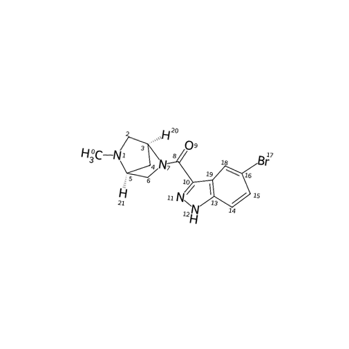 CN1C[C@@H]2C[C@H]1CN2C(=O)c1n[nH]c2ccc(Br)cc12